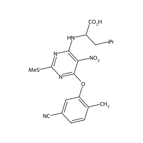 CSc1nc(NC(CC(C)C)C(=O)O)c([N+](=O)[O-])c(Oc2cc(C#N)ccc2C)n1